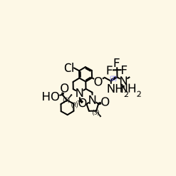 C[C@H]1CCN(CC2c3c(OC/C(N)=C(/N(C)N)C(F)(F)F)ccc(Cl)c3CCN2C(=O)[C@@H]2CCCC[C@]2(C)C(=O)O)C1=O